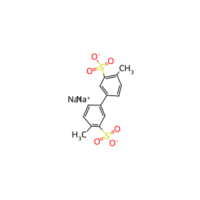 Cc1ccc(-c2ccc(C)c(S(=O)(=O)[O-])c2)cc1S(=O)(=O)[O-].[Na+].[Na+]